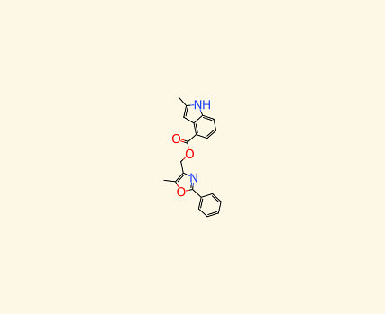 Cc1cc2c(C(=O)OCc3nc(-c4ccccc4)oc3C)cccc2[nH]1